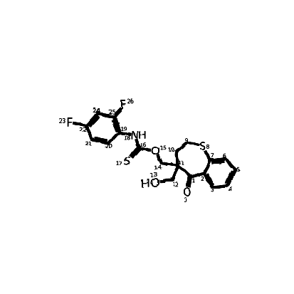 O=C1c2ccccc2SCCC1(CO)COC(=S)Nc1ccc(F)cc1F